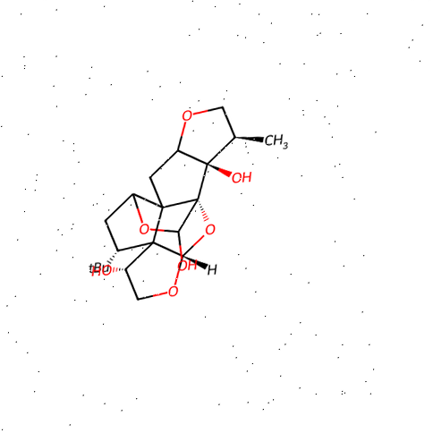 C[C@@H]1COC2CC34C5C[C@@H](C(C)(C)C)C36[C@@H](OC[C@@H]6O)O[C@@]4(C(O)O5)[C@]21O